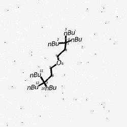 CCCCC(CCCC)(CCCC)CCOCCC(CCCC)(CCCC)CCCC